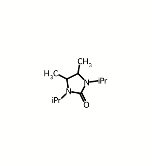 CC(C)N1C(=O)N(C(C)C)C(C)C1C